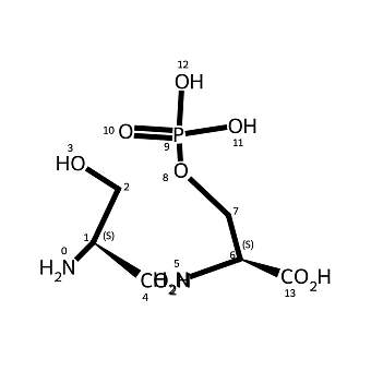 N[C@@H](CO)C(=O)O.N[C@@H](COP(=O)(O)O)C(=O)O